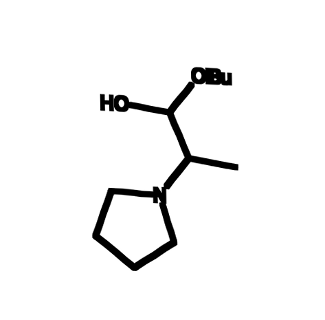 CC(C)COC(O)C(C)N1CCCC1